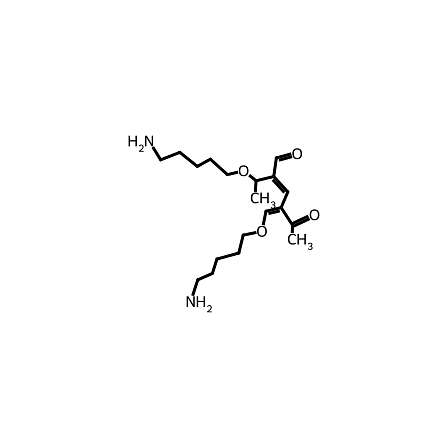 CC(=O)C(=C\OCCCCCN)/C=C(/C=O)C(C)OCCCCCN